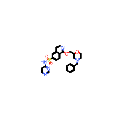 O=S(=O)(Nc1ccncn1)c1ccc2c(OCC3CN(Cc4ccccc4)CCO3)nccc2c1